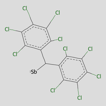 Clc1c(Cl)c(Cl)c([CH]([Sb])c2c(Cl)c(Cl)c(Cl)c(Cl)c2Cl)c(Cl)c1Cl